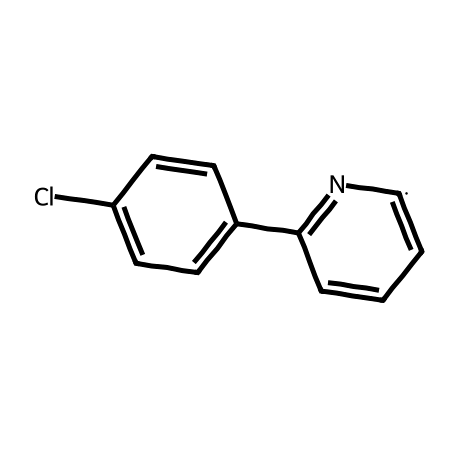 Clc1ccc(-c2ccc[c]n2)cc1